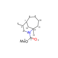 COC(=O)N1CC(C)C2CCCCC1(C)C2